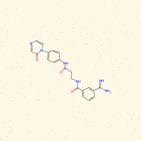 N=C(N)c1cccc(C(=O)NCCC(=O)Nc2ccc(-n3ccncc3=O)cc2)c1